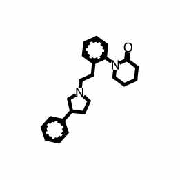 O=C1CCCCN1c1ccccc1CCN1CCC(c2ccccc2)C1